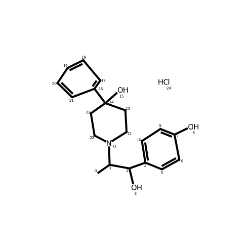 CC(C(O)c1ccc(O)cc1)N1CCC(O)(c2ccccc2)CC1.Cl